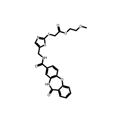 COCCOC(=O)CSc1ncc(CNC(=O)c2ccc3c(c2)NC(=O)c2ccccc2O3)s1